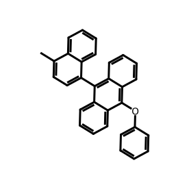 Cc1ccc(-c2c3ccccc3c(Oc3ccccc3)c3ccccc23)c2ccccc12